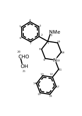 CNC1(c2ccccc2)CCN(Cc2ccccc2)CC1.O=CO